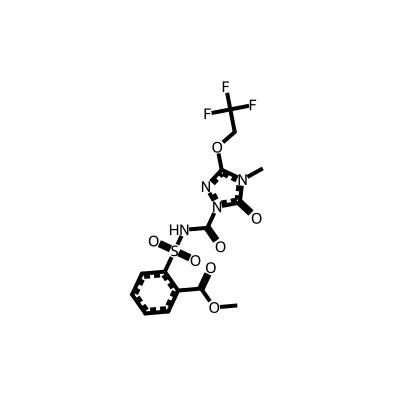 COC(=O)c1ccccc1S(=O)(=O)NC(=O)n1nc(OCC(F)(F)F)n(C)c1=O